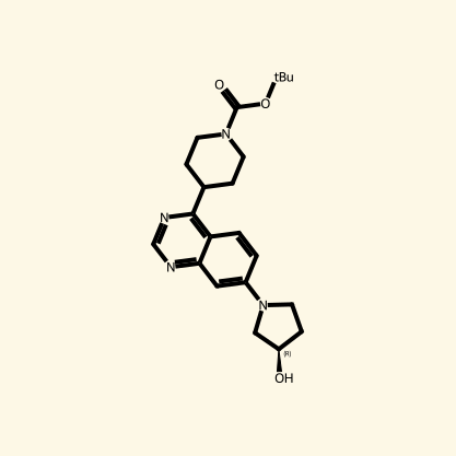 CC(C)(C)OC(=O)N1CCC(c2ncnc3cc(N4CC[C@@H](O)C4)ccc23)CC1